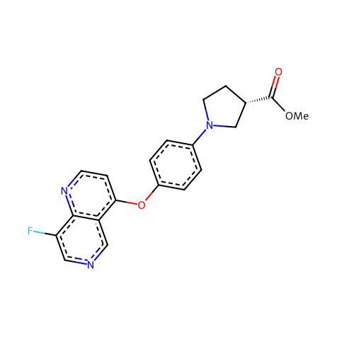 COC(=O)[C@H]1CCN(c2ccc(Oc3ccnc4c(F)cncc34)cc2)C1